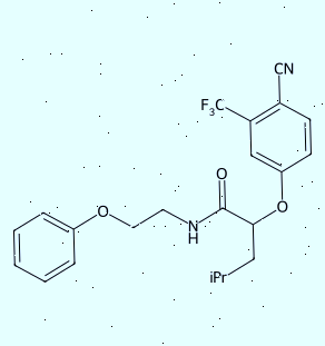 CC(C)CC(Oc1ccc(C#N)c(C(F)(F)F)c1)C(=O)NCCOc1ccccc1